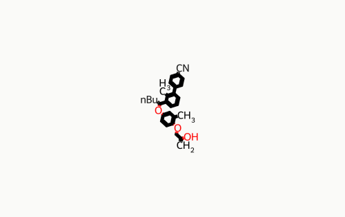 C=C(O)COc1ccc(OC(CCCC)c2cccc(-c3ccc(C#N)cc3)c2C)cc1C